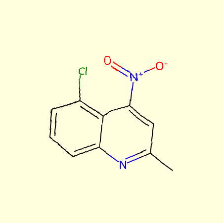 Cc1cc([N+](=O)[O-])c2c(Cl)cccc2n1